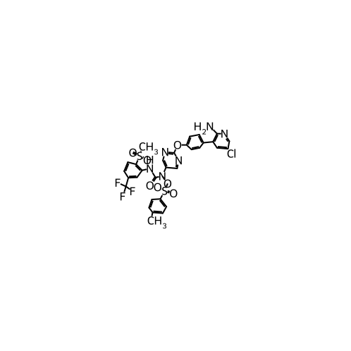 Cc1ccc(S(=O)(=O)ON(C(=O)Nc2cc(C(F)(F)F)ccc2S(C)(=O)=O)c2cnc(Oc3ccc(-c4cc(Cl)cnc4N)cc3)nc2)cc1